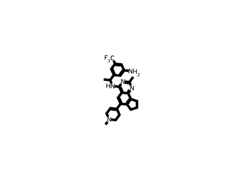 Cc1nc(NC(C)c2cc(N)cc(C(F)(F)F)c2)c2cc(C3=CCN(C)CC3)c3c(c2n1)CCC3